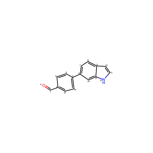 O=Cc1ccc(-c2ccc3cc[nH]c3c2)cc1